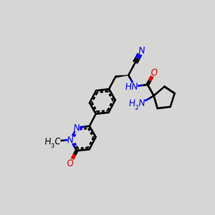 Cn1nc(-c2ccc(C[C@@H](C#N)NC(=O)C3(N)CCCC3)cc2)ccc1=O